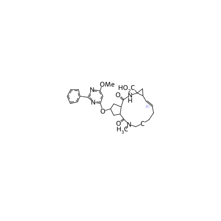 COc1cc(OC2CC3C(=O)NC4(C(=O)O)CC4/C=C/CCCCN(C)C(=O)C3C2)nc(-c2ccccc2)n1